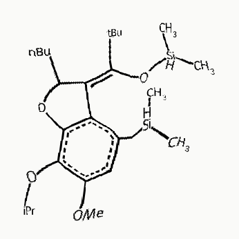 CCCCC1Oc2c(OC(C)C)c(OC)cc([SiH](C)C)c2C1=C(O[SiH](C)C)C(C)(C)C